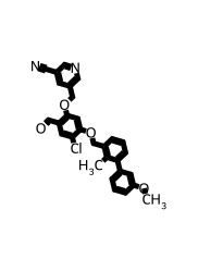 COc1cccc(-c2cccc(COc3cc(OCc4cncc(C#N)c4)c(C=O)cc3Cl)c2C)c1